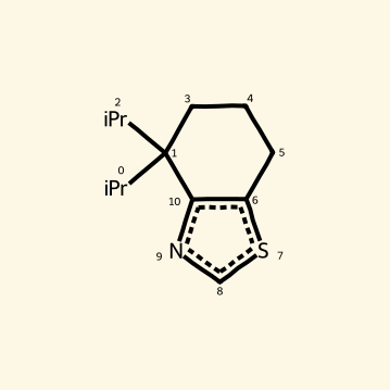 CC(C)C1(C(C)C)CCCc2scnc21